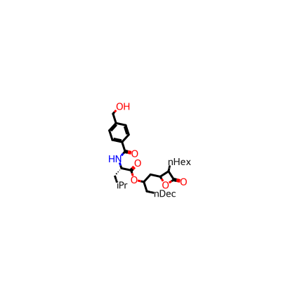 CCCCCCCCCCCC(CC1OC(=O)C1CCCCCC)OC(=O)[C@H](CC(C)C)NC(=O)c1ccc(CO)cc1